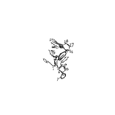 CCN(c1cc(OC)ccc1C)C(C)Oc1ccccc1